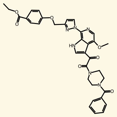 CCOC(=O)c1ccc(OCc2ccn(-c3ncc(OC)c4c(C(=O)C(=O)N5CCN(C(=O)c6ccccc6)CC5)c[nH]c34)n2)cc1